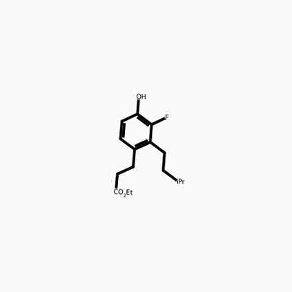 CCOC(=O)CCc1ccc(O)c(F)c1CCC(C)C